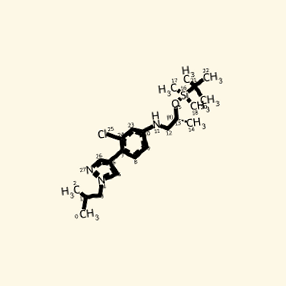 CC(C)Cn1cc(-c2ccc(NC[C@@H](C)O[Si](C)(C)C(C)(C)C)cc2Cl)cn1